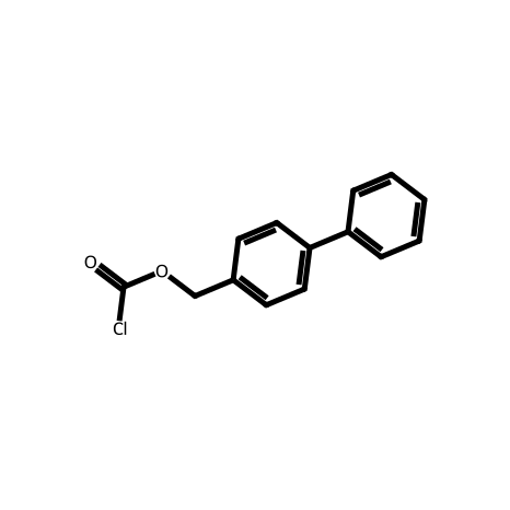 O=C(Cl)OCc1ccc(-c2ccccc2)cc1